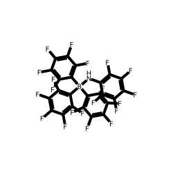 Fc1c(F)c(F)c(N[B-](c2c(F)c(F)c(F)c(F)c2F)(c2c(F)c(F)c(F)c(F)c2F)c2c(F)c(F)c(F)c(F)c2F)c(F)c1F